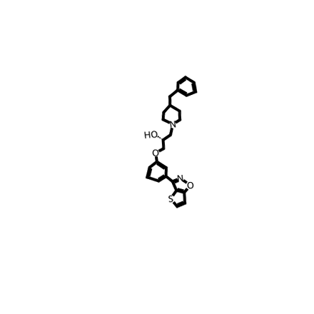 O[C@@H](COc1cccc(-c2noc3ccsc23)c1)CN1CCC(Cc2ccccc2)CC1